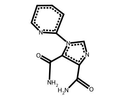 NC(=O)c1ncn(-c2ccccn2)c1C(N)=O